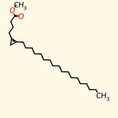 CCCCCCCCCCCCCCCCCCC1=C(CCCC(=O)OC)C1